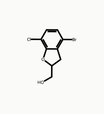 OCC1Cc2c(Br)ccc(Cl)c2O1